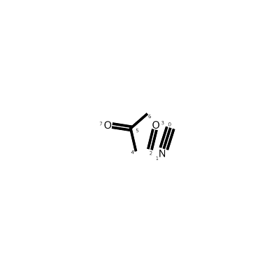 C#N.C=O.CC(C)=O